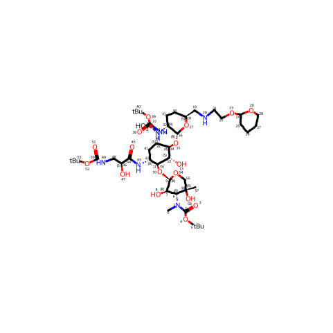 CN(C(=O)OC(C)(C)C)[C@@H]1[C@@H](O)[C@@H](O[C@@H]2[C@@H](O)[C@H](O[C@H]3O[C@H](CNCCOC4CCCCO4)CC[C@H]3NC(=O)O)[C@@H](NC(=O)OC(C)(C)C)C[C@H]2NC(=O)[C@@H](O)CNC(=O)OC(C)(C)C)OC[C@]1(C)O